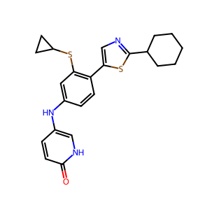 O=c1ccc(Nc2ccc(-c3cnc(C4CCCCC4)s3)c(SC3CC3)c2)c[nH]1